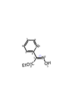 CCOC(=O)/C(=N\O)c1ccccn1